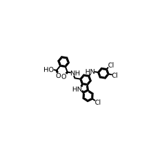 O=C(O)c1ccccc1C(=O)NCc1cc(Nc2ccc(Cl)c(Cl)c2)cc2c1[nH]c1ccc(Cl)cc12